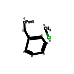 CCCCCCc1ccccc1.CCl